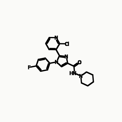 O=C(NN1CCCCC1)c1cn(-c2ccc(F)cc2)c(-c2cccnc2Cl)n1